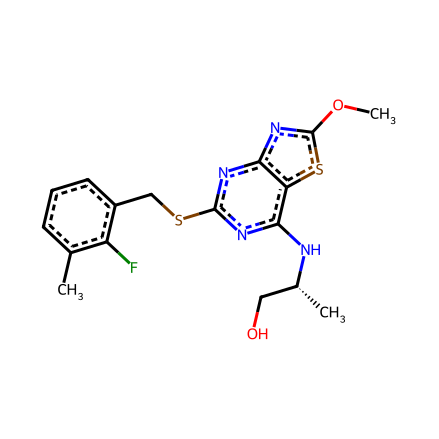 COc1nc2nc(SCc3cccc(C)c3F)nc(N[C@H](C)CO)c2s1